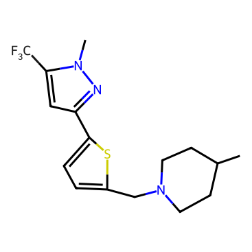 CC1CCN(Cc2ccc(-c3cc(C(F)(F)F)n(C)n3)s2)CC1